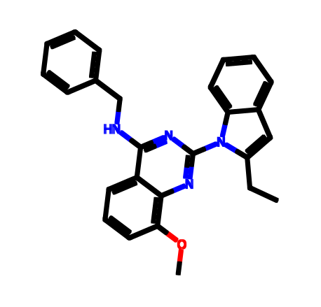 CCc1cc2ccccc2n1-c1nc(NCc2ccccc2)c2cccc(OC)c2n1